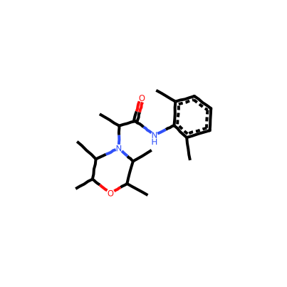 Cc1cccc(C)c1NC(=O)C(C)N1C(C)C(C)OC(C)C1C